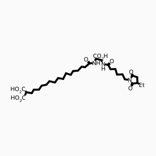 CCC1CC(=O)N(CCCCCC(=O)NCC(NC(=O)CCCCCCCCCCCCCCCC(C(=O)O)C(=O)O)C(=O)O)C1=O